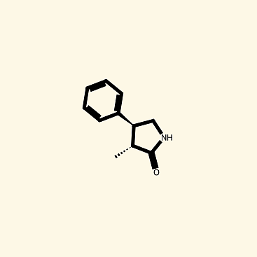 C[C@H]1C(=O)NC[C@@H]1c1ccccc1